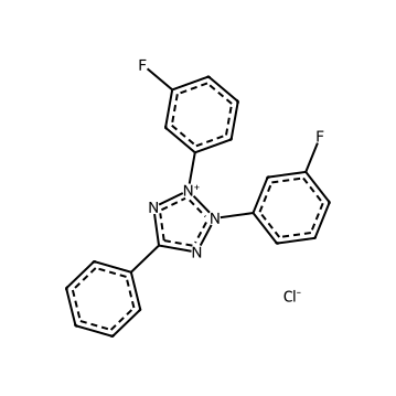 Fc1cccc(-n2nc(-c3ccccc3)n[n+]2-c2cccc(F)c2)c1.[Cl-]